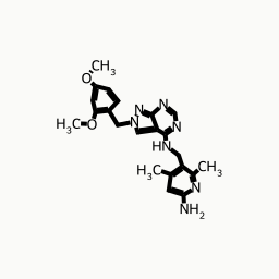 COc1ccc(Cn2cc3c(NCc4c(C)cc(N)nc4C)ncnc3n2)c(OC)c1